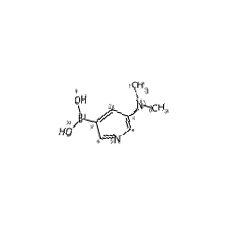 CN(C)c1cncc(B(O)O)c1